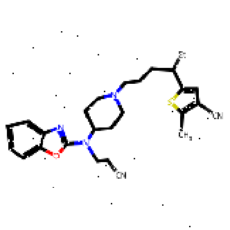 CCC(CCCN1CCC(N(CCC#N)c2nc3ccccc3o2)CC1)c1cc(C#N)c(C)s1